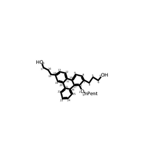 CCCCCOc1c(CCCO)ccc2c3ccc(CCCO)cc3c3ccccc3c12